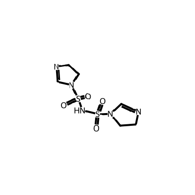 O=S(=O)(NS(=O)(=O)N1C=NCC1)N1C=NCC1